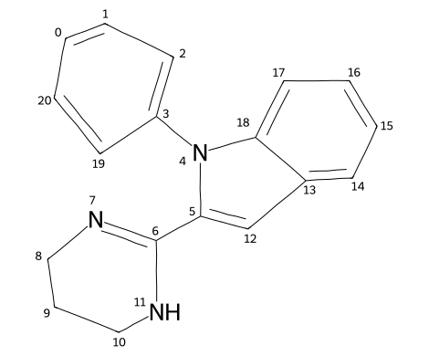 c1ccc(-n2c(C3=NCCCN3)cc3ccccc32)cc1